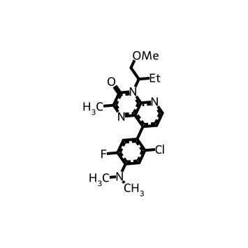 CCC(COC)n1c(=O)c(C)nc2c(-c3cc(F)c(N(C)C)cc3Cl)ccnc21